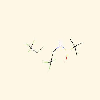 CC(C)(C)[S+]([O-])N[C@@H](CCC(F)(F)F)C(F)(F)F